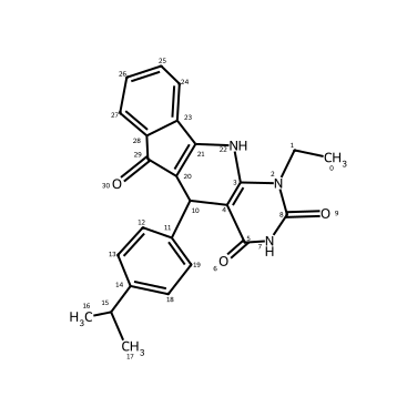 CCn1c2c(c(=O)[nH]c1=O)C(c1ccc(C(C)C)cc1)C1=C(N2)c2ccccc2C1=O